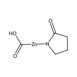 O=[C](O)[Zn][N]1CCCC1=O